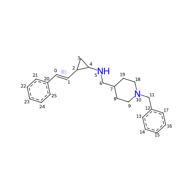 C(=C\C1CC1NCC1CCN(Cc2ccccc2)CC1)/c1ccccc1